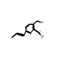 C/C=C/c1ccc(CO)c(CO)c1